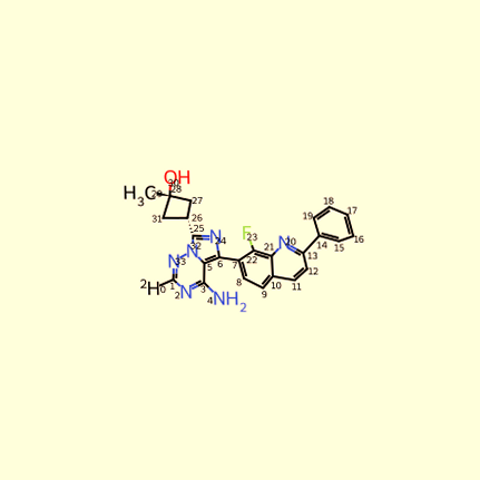 [2H]c1nc(N)c2c(-c3ccc4ccc(-c5ccccc5)nc4c3F)nc([C@H]3C[C@@](C)(O)C3)n2n1